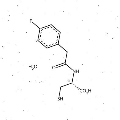 O.O=C(Cc1ccc(F)cc1)N[C@@H](CS)C(=O)O